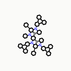 c1ccc(-c2cc3c4c(c2)N(c2ccccc2)c2cc5c(cc2B4c2ccccc2N3c2ccc3c4ccccc4c4ccccc4c3c2)B2c3ccccc3N(c3ccc4c6ccccc6c6ccccc6c4c3)c3cc(-c4ccccc4)cc(c32)N5c2ccc3c4ccccc4c4ccccc4c3c2)cc1